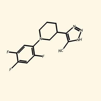 N#Cc1[nH]nnc1C1CCCN(c2cc(F)c(F)cc2F)C1